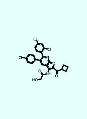 O=C(CO)Nc1c(C(=O)C2CCC2)oc2nc(-c3ccc(Cl)cc3Cl)c(-c3ccc(Cl)cc3)cc12